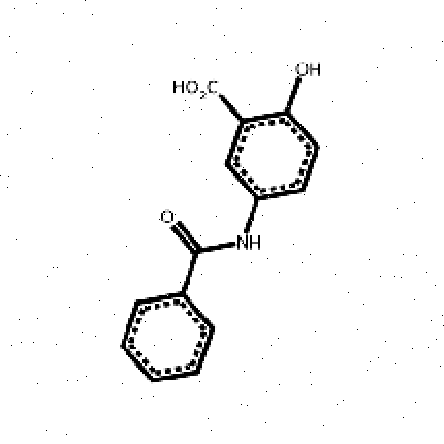 O=C(Nc1ccc(O)c(C(=O)O)c1)c1ccccc1